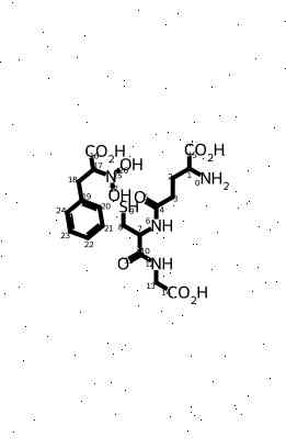 NC(CCC(=O)NC(CS)C(=O)NCC(=O)O)C(=O)O.O=C(O)C(Cc1ccccc1)N(O)O